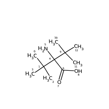 CC(C)(C)C(N)(C(=O)O)C(C)(C)C